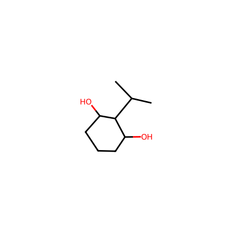 CC(C)C1C(O)CCCC1O